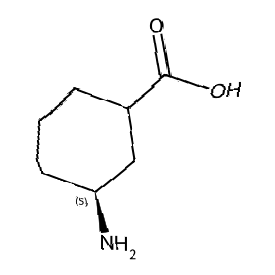 N[C@H]1CCCC(C(=O)O)C1